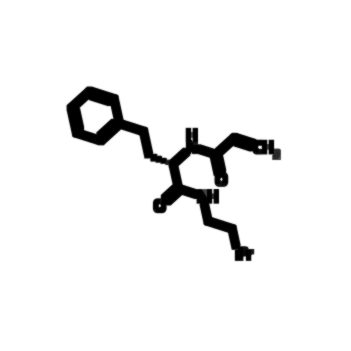 C=CC(=O)N[C@@H](CCc1ccccc1)C(=O)NCCC(C)C